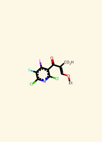 CCOC=C(C(=O)O)C(=O)c1c(Cl)nc(Cl)c(F)c1I